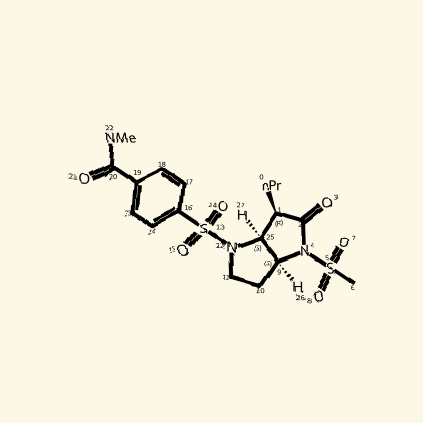 CCC[C@H]1C(=O)N(S(C)(=O)=O)[C@H]2CCN(S(=O)(=O)c3ccc(C(=O)NC)cc3)[C@@H]12